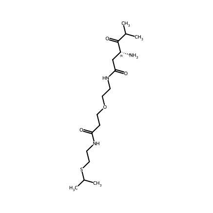 CC(C)SCCNC(=O)CCOCCNC(=O)C[C@@H](N)C(=O)C(C)C